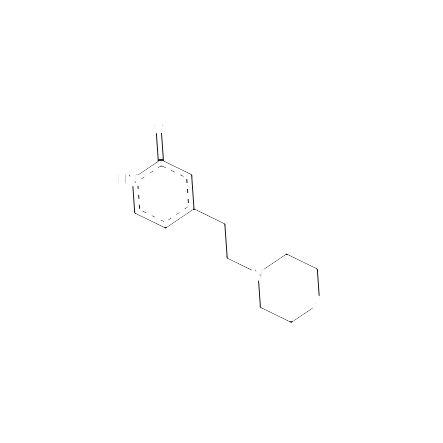 O=c1cc(CCN2CCOCC2)cc[nH]1